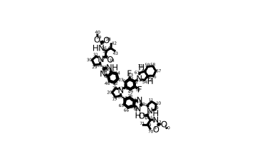 COC(=O)NC(C(=O)N1CCC[C@H]1c1nc2cc([C@H]3CC[C@H](c4ccc5[nH]c([C@@H]6CCCN6C(=O)[C@@H](NC(=O)OC)C(C)C)nc5c4)N3c3cc(F)c(N4C[C@H]5CCCC[C@H]5C4)c(F)c3)ccc2[nH]1)C(C)C